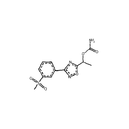 CC(OC(N)=O)c1nc(-c2cccc(S(C)(=O)=O)c2)no1